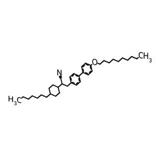 CCCCCCCCCCOc1ccc(-c2ccc(CC(C#N)C3CCC(CCCCCCC)CC3)cc2)cc1